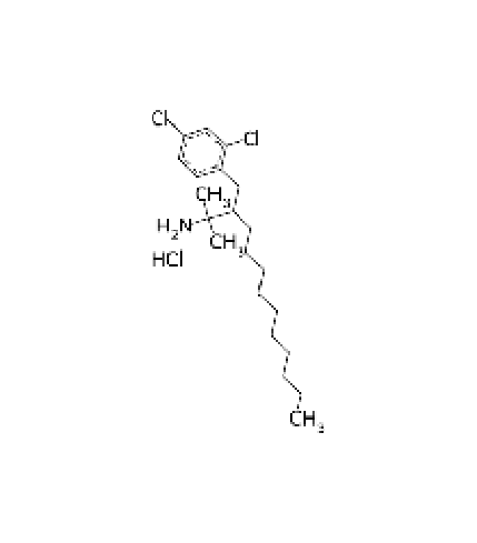 CCCCCCCCCCC(Cc1ccc(Cl)cc1Cl)C(C)(C)N.Cl